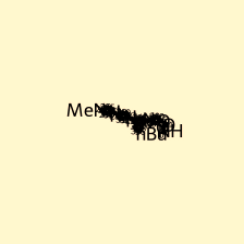 CCCCNOC(=O)Oc1ccc(N=Nc2ccc(N=Nc3ccc(N=Nc4ccc(NC)cc4)cc3)c3ccccc23)cc1